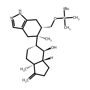 C=C1CC[C@H]2[C@H](O)[C@@H]([C@@]3(C)Cc4cn[nH]c4C[C@@H]3CO[Si](C)(C)C(C)(C)C)CC[C@]12C